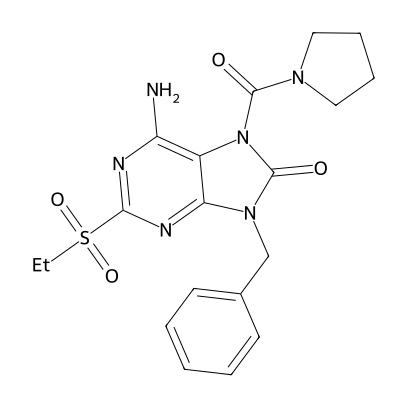 CCS(=O)(=O)c1nc(N)c2c(n1)n(Cc1ccccc1)c(=O)n2C(=O)N1CCCC1